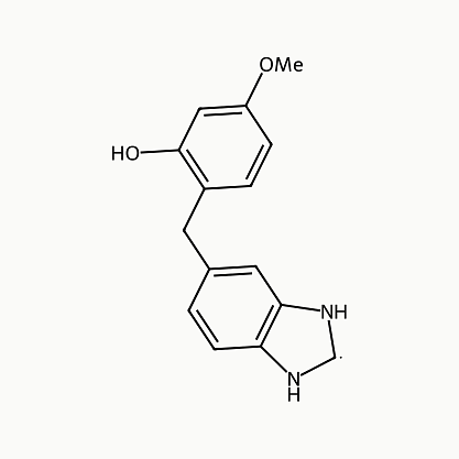 COc1ccc(Cc2ccc3c(c2)N[CH]N3)c(O)c1